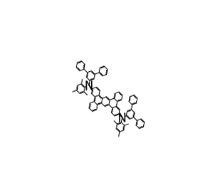 Cc1cc(C)c(N(c2cc(-c3ccccc3)cc(-c3ccccc3)c2)c2ccc3c(c2)c2ccccc2c2cc4c5ccc(N(c6cc(-c7ccccc7)cc(-c7ccccc7)c6)c6c(C)cc(C)cc6C)cc5c5ccccc5c4cc32)c(C)c1